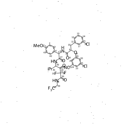 COc1ccc(C(NC(=O)C(Cc2cccc(Cl)c2)Oc2cc(Cl)cc(C#N)c2)C(=O)NC(C(=O)C(F)(F)C(=O)NCC(F)(F)F)C(C)C)cc1